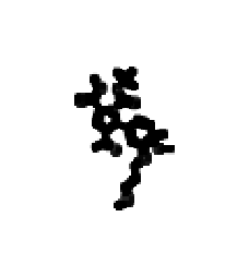 COCCCOC1C=C([C@H]2[C@@H](C(C)=O)C[C@@H](C(=O)OC)N2C(=O)OC(C)(C)C)C=CC1(C)OC